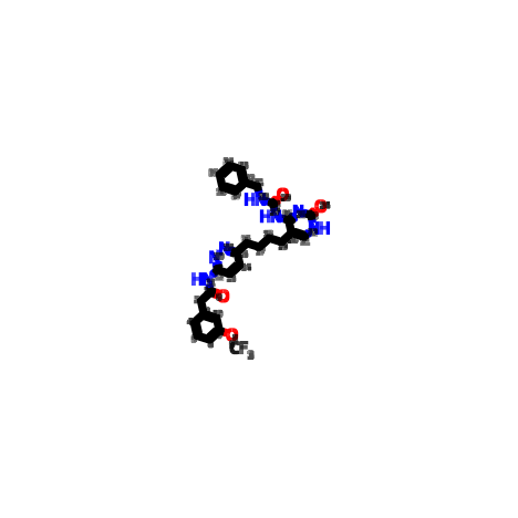 O=C(Cc1cccc(OC(F)(F)F)c1)Nc1ccc(CCCCc2c[nH]c(=O)nc2NC(=O)NCc2ccccc2)nn1